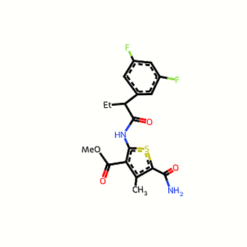 CCC(C(=O)Nc1sc(C(N)=O)c(C)c1C(=O)OC)c1cc(F)cc(F)c1